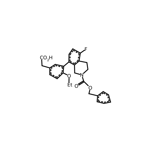 CCOc1ccc(CC(=O)O)cc1-c1ccc(F)c2c1CN(C(=O)OCc1ccccc1)CC2